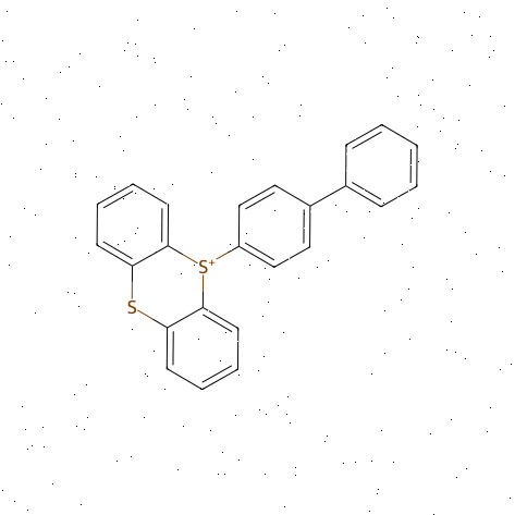 c1ccc(-c2ccc([S+]3c4ccccc4Sc4ccccc43)cc2)cc1